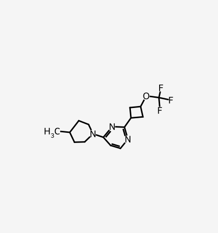 CC1CCN(c2ccnc(C3CC(OC(F)(F)F)C3)n2)CC1